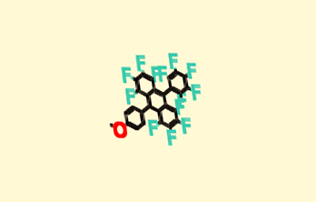 COc1ccc(-c2c3c(F)c(F)c(F)c(F)c3c(-c3c(F)c(F)c(F)c(F)c3F)c3c(F)c(F)c(F)c(F)c23)cc1